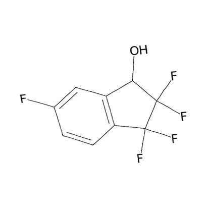 OC1c2cc(F)ccc2C(F)(F)C1(F)F